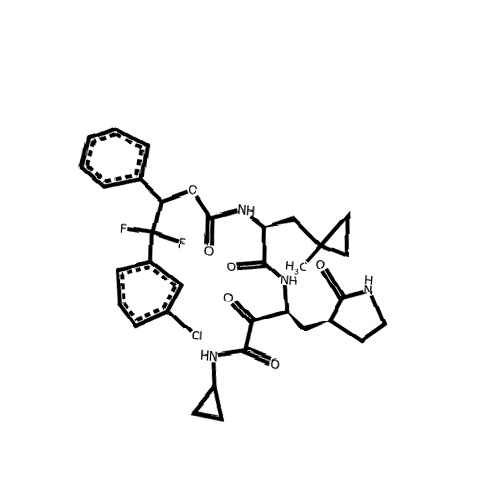 CC1(C[C@H](NC(=O)OC(c2ccccc2)C(F)(F)c2cccc(Cl)c2)C(=O)N[C@@H](C[C@@H]2CCNC2=O)C(=O)C(=O)NC2CC2)CC1